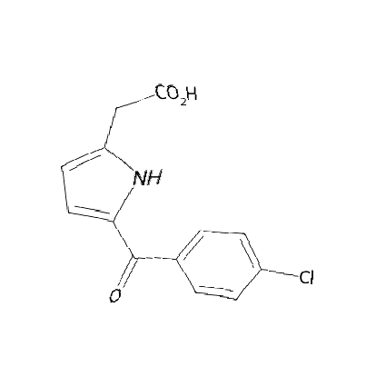 O=C(O)Cc1ccc(C(=O)c2ccc(Cl)cc2)[nH]1